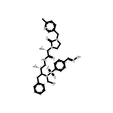 Cc1ccc(CN2CCN([C@H](C(=O)NC[C@@H](O)C(Cc3ccccc3)N(CC(C)C)S(=O)(=O)c3ccc(C=NO)cc3)C(C)(C)C)C2=O)cn1